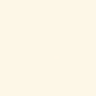 C=C(COCCCC)C(=O)O